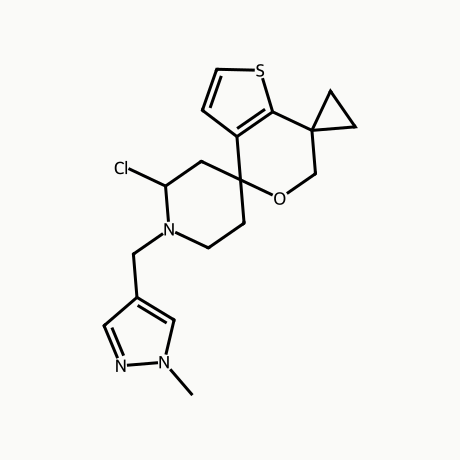 Cn1cc(CN2CCC3(CC2Cl)OCC2(CC2)c2sccc23)cn1